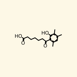 Cc1cc(C)c(C(=O)CCCCCC(=O)O)c(O)c1C